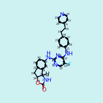 O=C1N[C@H]2c3cc(Nc4ncc(F)c(Nc5ccc(CCc6ccncc6)cc5)n4)ccc3CC2O1